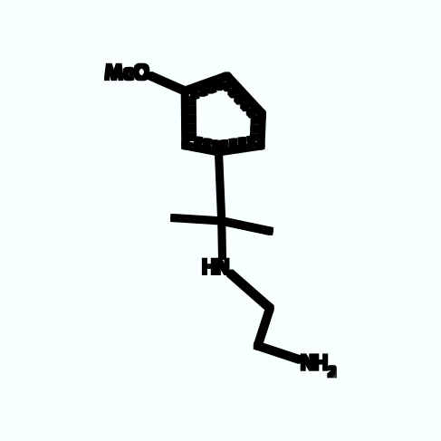 COc1cccc(C(C)(C)NCCN)c1